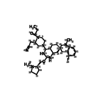 C=CC(=O)N1CCN(C2NC(OC[C@H]3CCCN3C)NC3C[C@]4(CCC32)Cc2c(F)cccc2N(C)C4)C[C@H]1CC#N